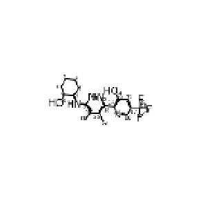 Cc1c(NC2CCCCC2O)nnc(-c2ncc(C(F)(F)F)cc2O)c1C